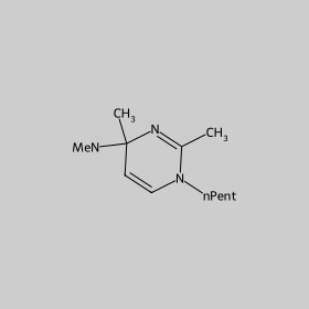 CCCCCN1C=CC(C)(NC)N=C1C